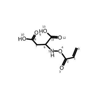 C=CC(=O)ONC(CC(=O)O)C(=O)O